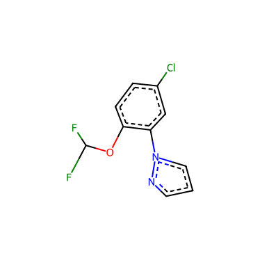 FC(F)Oc1ccc(Cl)cc1-n1cccn1